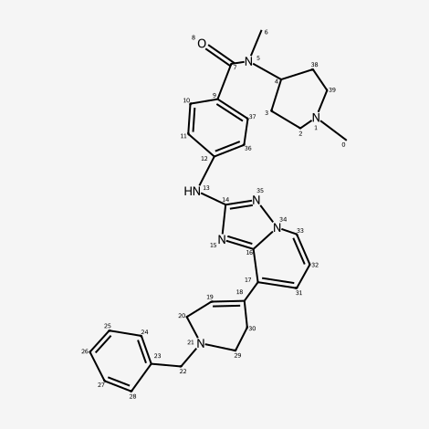 CN1CCC(N(C)C(=O)c2ccc(Nc3nc4c(C5=CCN(Cc6ccccc6)CC5)cccn4n3)cc2)CC1